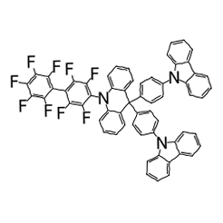 Fc1c(F)c(F)c(-c2c(F)c(F)c(N3c4ccccc4C(c4ccc(-n5c6ccccc6c6ccccc65)cc4)(c4ccc(-n5c6ccccc6c6ccccc65)cc4)c4ccccc43)c(F)c2F)c(F)c1F